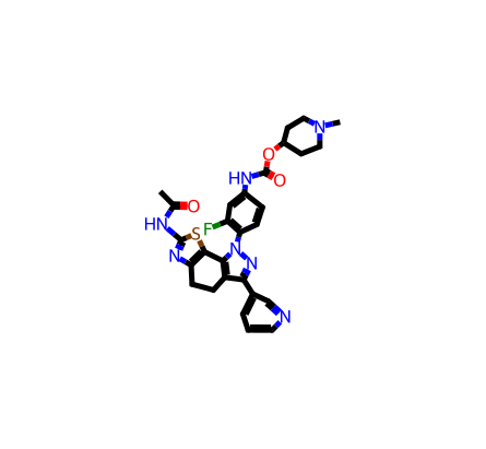 CC(=O)Nc1nc2c(s1)-c1c(c(-c3cccnc3)nn1-c1ccc(NC(=O)OC3CCN(C)CC3)cc1F)CC2